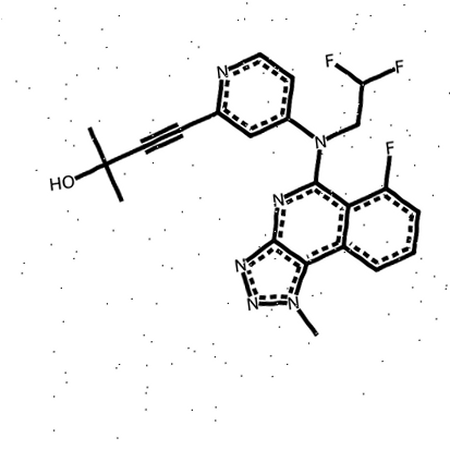 Cn1nnc2nc(N(CC(F)F)c3ccnc(C#CC(C)(C)O)c3)c3c(F)cccc3c21